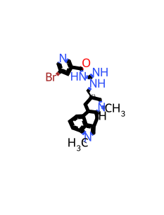 CN1C[C@H](CNC(=N)NC(=O)c2cncc(Br)c2)CC2c3cccc4c3c(cn4C)C[C@H]21